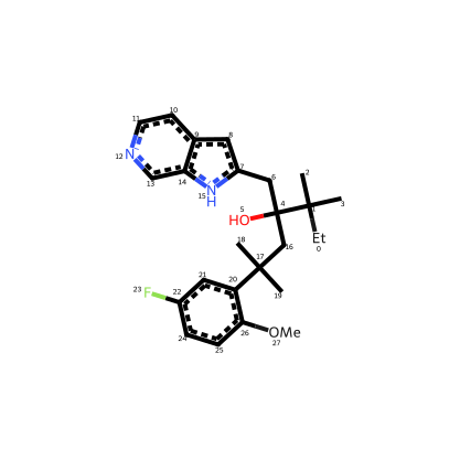 CCC(C)(C)C(O)(Cc1cc2ccncc2[nH]1)CC(C)(C)c1cc(F)ccc1OC